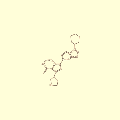 O=c1[nH]cnc2c(-c3ccc4c(c3)ncn4C3CCCCC3)cn(C3CCNC3)c12